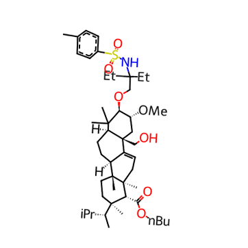 CCCCOC(=O)[C@@H]1[C@@](C)([C@H](C)C(C)C)CC[C@]2(C)[C@H]3CC[C@H]4C(C)(C)[C@@H](OCC(CC)(CC)NS(=O)(=O)c5ccc(C)cc5)[C@H](OC)C[C@]4(CO)C3=CC[C@@]12C